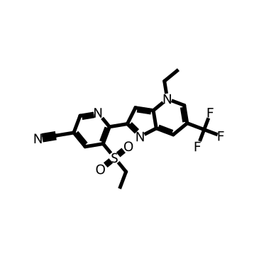 CCn1cc(C(F)(F)F)cc2nc(-c3ncc(C#N)cc3S(=O)(=O)CC)cc1-2